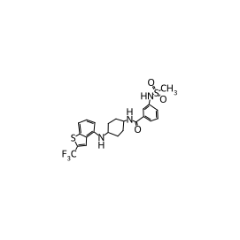 CS(=O)(=O)Nc1cccc(C(=O)NC2CCC(Nc3cccc4sc(C(F)(F)F)cc34)CC2)c1